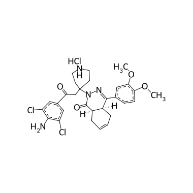 COc1ccc(C2=NN(C3(CC(=O)c4cc(Cl)c(N)c(Cl)c4)CCNCC3)C(=O)[C@@H]3CC=CC[C@H]23)cc1OC.Cl